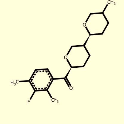 Cc1ccc(C(=O)[C@@H]2CCC([C@@H]3CCC(C)CO3)CO2)c(C(F)(F)F)c1F